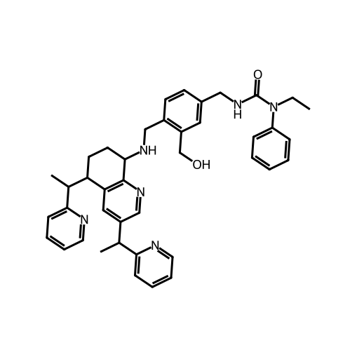 CCN(C(=O)NCc1ccc(CNC2CCC(C(C)c3ccccn3)c3cc(C(C)c4ccccn4)cnc32)c(CO)c1)c1ccccc1